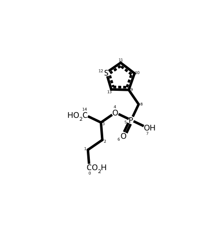 O=C(O)CCC(OP(=O)(O)Cc1ccsc1)C(=O)O